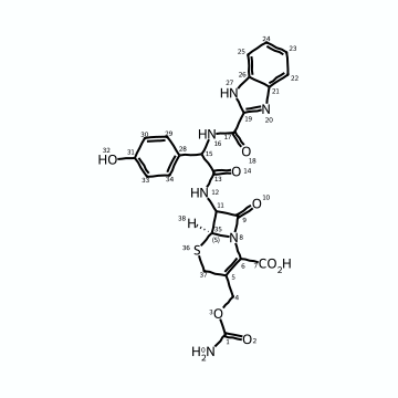 NC(=O)OCC1=C(C(=O)O)N2C(=O)C(NC(=O)C(NC(=O)c3nc4ccccc4[nH]3)c3ccc(O)cc3)[C@@H]2SC1